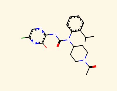 CC(=O)N1CCC(N(C(=O)Nc2ncc(Br)nc2O)c2ccccc2C(C)C)CC1